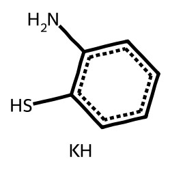 Nc1ccccc1S.[KH]